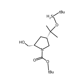 CC(C)(C)OC(=O)N1C[C@@H](C(C)(C)O[SiH2]C(C)(C)C)C[C@H]1CO